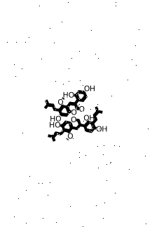 COc1c(CC=C(C)C)c(O)cc2c1CC(c1ccc(O)c(CC=C(C)C)c1O)CO2.COc1c(CC=C(C)C)c(O)cc2oc(=O)c(-c3ccc(O)cc3O)cc12